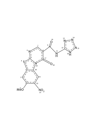 COc1cc2sc3ncc(C(=O)Nc4nnn[nH]4)c(=O)n3c2cc1[N+](=O)[O-]